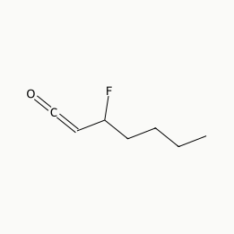 CCCCC(F)C=C=O